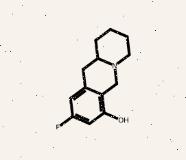 Oc1cc(F)cc2c1CN1CCCCC1C2